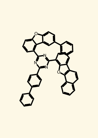 c1ccc(-c2ccc(-c3nc(-c4cccc5c4oc4c6ccccc6ccc54)nc(-c4cccc5oc6ccc(-c7ccccc7)cc6c45)n3)cc2)cc1